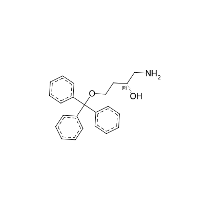 NC[C@H](O)CCOC(c1ccccc1)(c1ccccc1)c1ccccc1